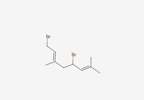 CC(C)=CC(Br)CC(C)=CCBr